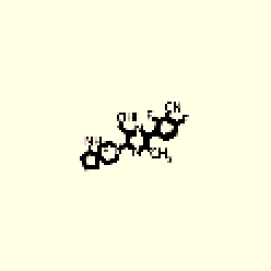 Cc1nc(N2CCC3(CCC[C@H]3N)CC2)c(CO)nc1-c1ccc(F)c(C#N)c1F